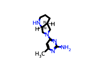 Cc1cc(N2C[C@@H]3CCCN[C@@H]3C2)nc(N)n1